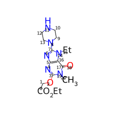 CCOC(=O)COc1nc2nc(N3CCNCC3)n(CC)c2c(=O)n1C